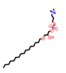 CCCCCCCCCCCCCCCCOCC(O)COP(=O)([O-])OCCC[N+](C)(C)C